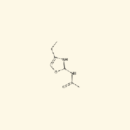 CCC1=CO[C](NC(C)=O)N1